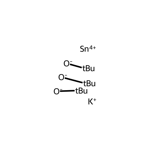 CC(C)(C)[O-].CC(C)(C)[O-].CC(C)(C)[O-].[K+].[Sn+4]